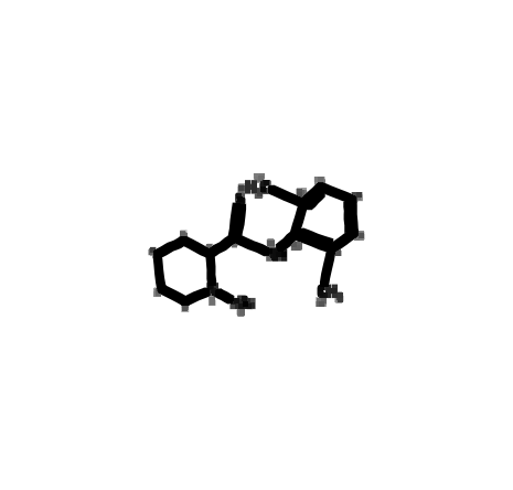 CCCCN1CCCCC1C(=S)Nc1c(C)cccc1C